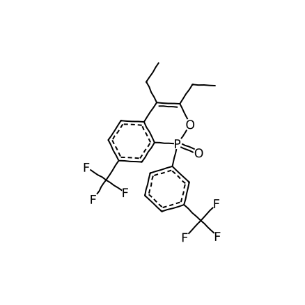 CCC1=C(CC)c2ccc(C(F)(F)F)cc2P(=O)(c2cccc(C(F)(F)F)c2)O1